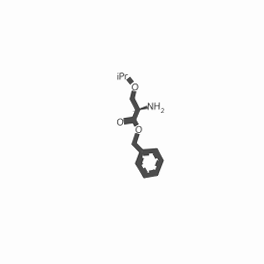 CC(C)OC[C@@H](N)C(=O)OCc1ccccc1